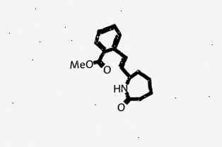 COC(=O)c1ccccc1C=CC1CCCCC(=O)N1